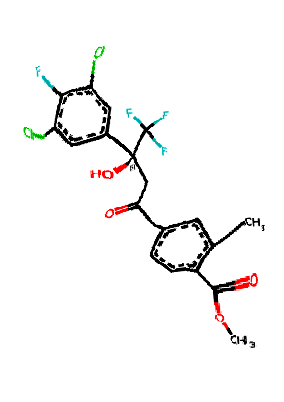 COC(=O)c1ccc(C(=O)C[C@](O)(c2cc(Cl)c(F)c(Cl)c2)C(F)(F)F)cc1C